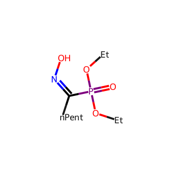 CCCCC/C(=N/O)P(=O)(OCC)OCC